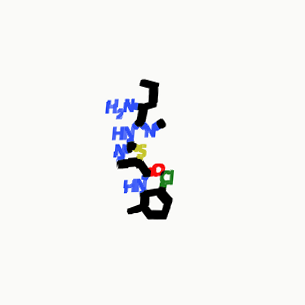 C=N/C(Nc1ncc(C(=O)Nc2c(C)cccc2Cl)s1)=C(N)\C=C/C